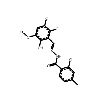 CCOc1cc(Cl)c(Cl)c(C=NNC(=O)c2ccc(C)cc2Cl)c1O